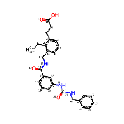 CCc1c(CCC(=O)O)cccc1CNC(=O)c1cccc(NC(=O)NCc2ccccc2)c1